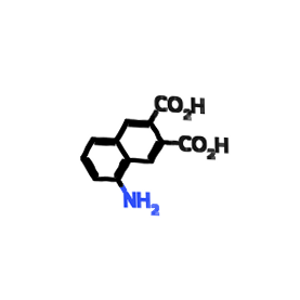 Nc1cccc2cc(C(=O)O)c(C(=O)O)cc12